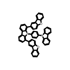 c1ccc2c(c1)oc1ccc(-c3cccc4c5cccc(-c6ccc7oc8ccccc8c7c6)c5n(-c5ccc(-n6c7ccccc7c7ccccc76)cc5)c34)cc12